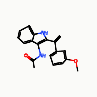 C=C(c1cccc(OC)c1)c1[nH]c2ccccc2c1NC(C)=O